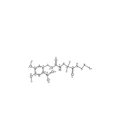 COc1cc(COC(=O)NCC(C)(C)C(=O)SCCI)c([N+](=O)[O-])cc1OC